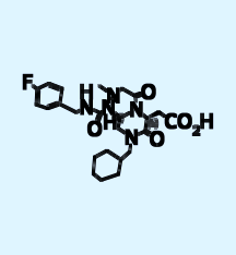 CN1CC(=O)N2[C@@H](CC(=O)O)C(=O)N(CC3CCCCC3)C[C@@H]2N1C(=O)NCc1ccc(F)cc1